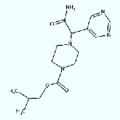 CC(C)COC(=O)N1CCN(C(C(N)=O)c2cncnc2)CC1